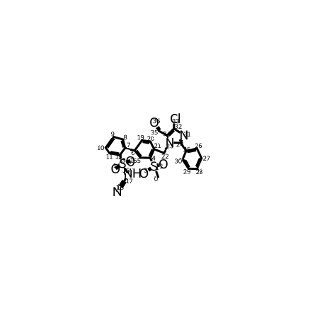 CS(=O)(=O)c1cc(-c2ccccc2S(=O)(=O)NC#N)ccc1Cn1c(-c2ccccc2)nc(Cl)c1C=O